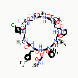 CC[C@H](C)[C@@H]1NC(=O)[C@H](C)N(C)C(=O)C[C@@H](C(=O)N2CCCC2)NC(=O)[C@H](CC(C)C)N(C)C(=O)[C@H](Cc2ccccc2)N(C)C(=O)[C@H](COCC(=O)NC(C)(C)C)NC(=O)[C@H](CCc2ccc(C(F)(F)F)cc2)NC(=O)CN(C)C(=O)[C@H](Cc2ccc(Cl)cc2)N(C)C(=O)CN(C)C(=O)CN(C)C1=O